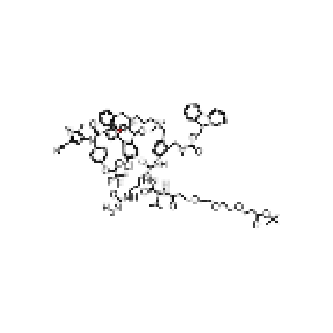 Cc1c(N(C(=O)c2cc(-c3cc(Cl)ccc3C(=O)N3Cc4ccccc4C[C@H]3CCC[N+](C)(C)Cc3ccc(NC(=O)[C@H](CCCNC(N)=O)NC(=O)[C@@H](NC(=O)CCOCCOCCOCCC(=O)OC(C)(C)C)C(C)C)cc3CN(C)C(=O)OCC3c4ccccc4-c4ccccc43)n(C)c2C)c2ccc(OC(=O)C(F)(F)F)cc2)cc(C#N)n1C